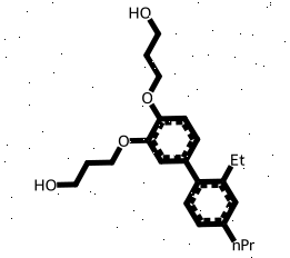 CCCc1ccc(-c2ccc(OCCCO)c(OCCCO)c2)c(CC)c1